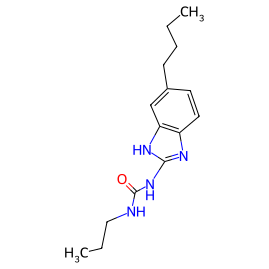 CCCCc1ccc2nc(NC(=O)NCCC)[nH]c2c1